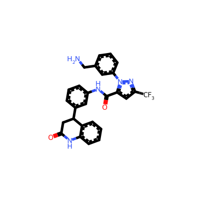 NCc1cccc(-n2nc(C(F)(F)F)cc2C(=O)Nc2cccc(C3CC(=O)Nc4ccccc43)c2)c1